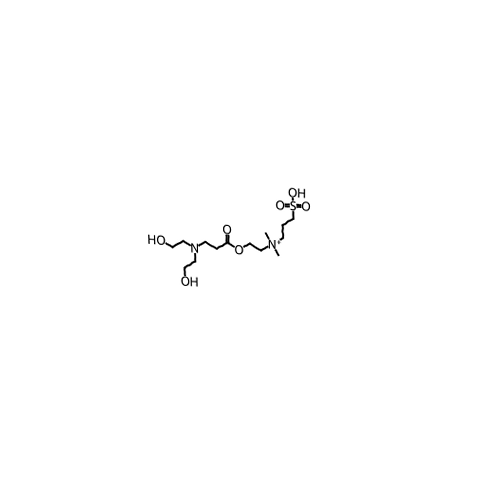 C[N+](C)(CCCS(=O)(=O)O)CCOC(=O)CCN(CCO)CCO